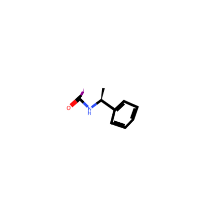 C[C@H](NC(=O)I)c1ccccc1